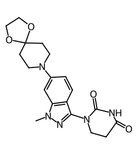 Cn1nc(N2CCC(=O)NC2=O)c2ccc(N3CCC4(CC3)OCCO4)cc21